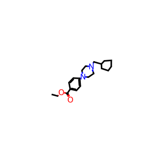 CCOC(=O)c1ccc(N2CCN(CC3CCCCC3)CC2)cc1